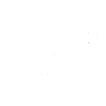 NC(=O)c1ccc(-c2ccc(F)c(F)c2)cc1N1Cc2ccc(-c3c[nH]nn3)cc2C1=O